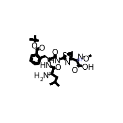 CO/N=C(\C(=O)O)c1csc(NC(=O)[C@H](Cc2ccccc2C(=O)OC(C)(C)C)NC(=O)[C@@H](N)CC(C)C)n1